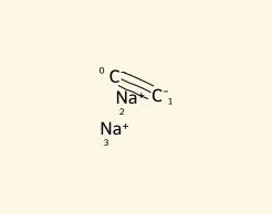 [C-]#[C-].[Na+].[Na+]